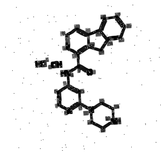 Cl.Cl.O=C(Nc1ccnc(N2CCNCC2)c1)c1cccc2c1Cc1ccccc1-2